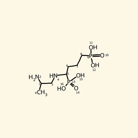 CC(N)CNC(CCCP(=O)(O)O)P(=O)(O)O